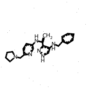 C=C(Nc1ccc(CN2CCCC2)nc1)c1n[nH]cc1NCc1ccccc1